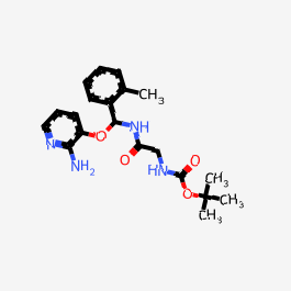 Cc1ccccc1C(NC(=O)CNC(=O)OC(C)(C)C)Oc1cccnc1N